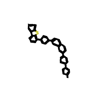 Cc1ccc(-c2ccc(-c3ccc4ccc(-c5ccc(-c6cccc7c6sc6ccccc67)cc5)cc4c3)cc2)cc1